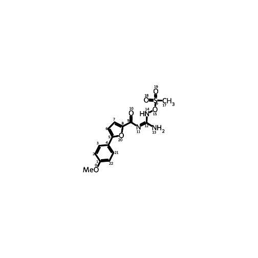 COc1ccc(-c2ccc(C(=O)N=C(N)NOS(C)(=O)=O)o2)cc1